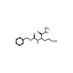 NNC(=O)C(CCC=O)NC(=O)OCc1ccccc1